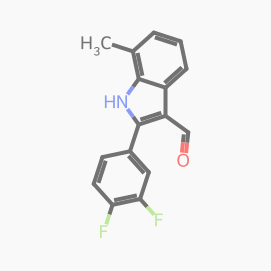 Cc1cccc2c(C=O)c(-c3ccc(F)c(F)c3)[nH]c12